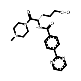 CN1CCN(C(=O)[C@H](CCCC=O)NC(=O)c2ccc(-c3ncccn3)cc2)CC1